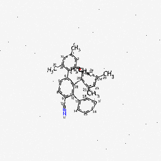 Cc1cc(C)c(-c2ccc(C#N)c(-c3ccccc3)c2-c2c(C)cc(C)cc2C)c(C)c1